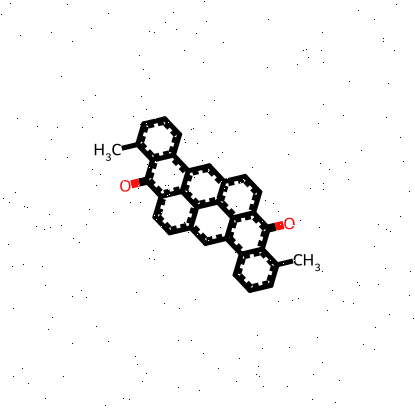 Cc1cccc2c1c(=O)c1ccc3cc4c5cccc(C)c5c(=O)c5ccc6cc2c1c3c6c54